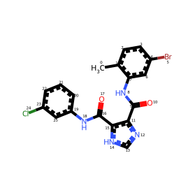 Cc1ccc(Br)cc1NC(=O)c1nc[nH]c1C(=O)Nc1cccc(Cl)c1